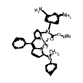 CN(C1=[N+]2C(=C(c3ccccc3)c3ccc(N(C(=O)OC(C)(C)C)c4cc(N)cc(N)c4)n3[B-]2(F)F)C=C1)c1ccccc1